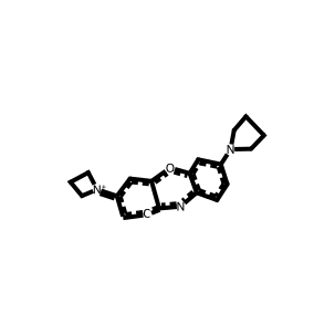 c1cc2nc3ccc(=[N+]4CCC4)cc-3oc2cc1N1CCCC1